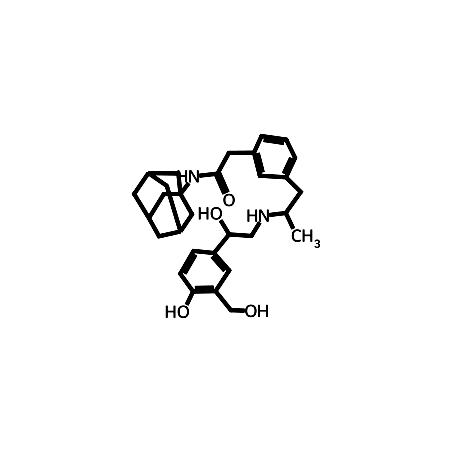 CC(Cc1cccc(CC(=O)NC23CC4CC(CC(C4)C2)C3)c1)NCC(O)c1ccc(O)c(CO)c1